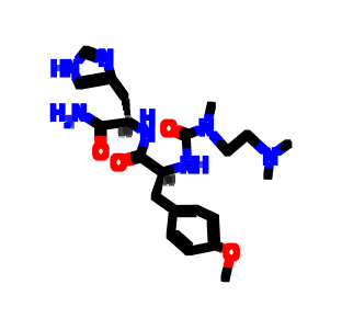 COc1ccc(C[C@H](NC(=O)N(C)CCN(C)C)C(=O)N[C@@H](Cc2c[nH]cn2)C(N)=O)cc1